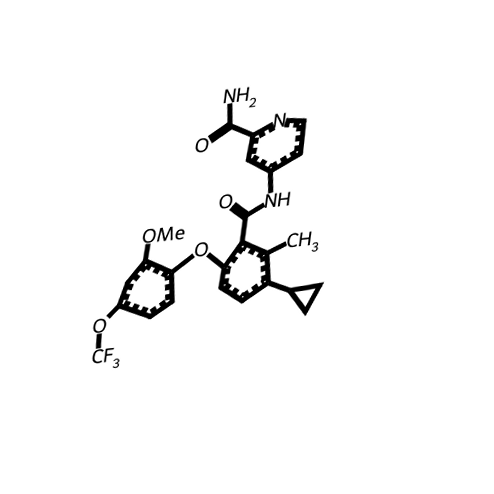 COc1cc(OC(F)(F)F)ccc1Oc1ccc(C2CC2)c(C)c1C(=O)Nc1ccnc(C(N)=O)c1